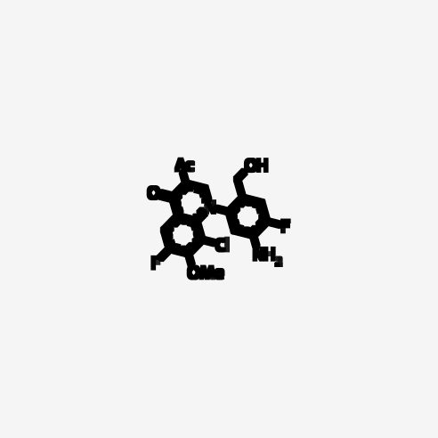 COc1c(F)cc2c(=O)c(C(C)=O)cn(-c3cc(N)c(F)cc3CO)c2c1Cl